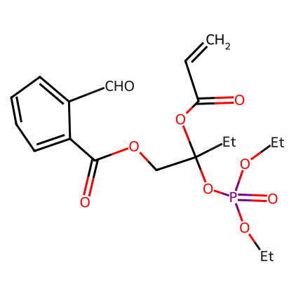 C=CC(=O)OC(CC)(COC(=O)c1ccccc1C=O)OP(=O)(OCC)OCC